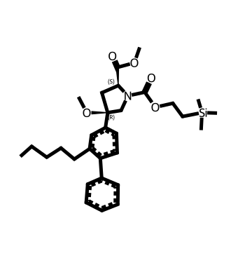 CCCCCc1cc([C@]2(OC)C[C@@H](C(=O)OC)N(C(=O)OCC[Si](C)(C)C)C2)ccc1-c1ccccc1